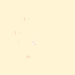 C=CC[C@@H](CO)C[C@@H](CO)N(CCCC)C(=O)O